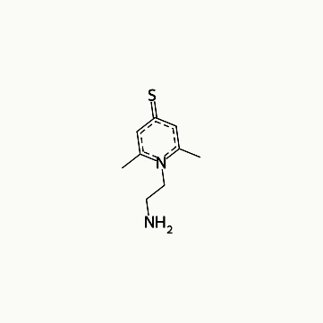 Cc1cc(=S)cc(C)n1CCN